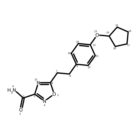 NC(=O)c1noc([CH]Cc2ccc(OC3CCCC3)cc2)n1